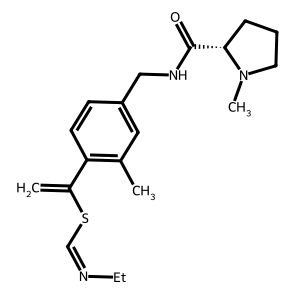 C=C(S/C=N\CC)c1ccc(CNC(=O)[C@@H]2CCCN2C)cc1C